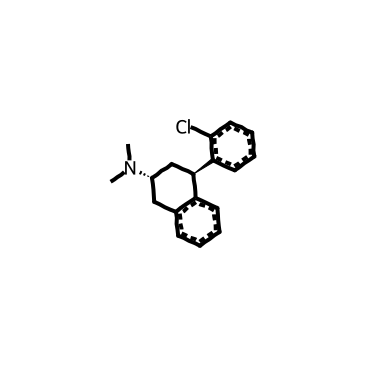 CN(C)[C@H]1Cc2ccccc2[C@H](c2ccccc2Cl)C1